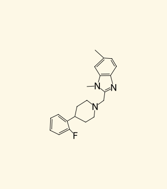 Cc1ccc2nc(CN3CCC(c4ccccc4F)CC3)n(C)c2c1